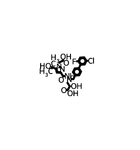 CC(C)(O)c1cc(C(=O)NN(Cc2ccc(-c3cc(Cl)ccc3F)cc2)C[C@@H](O)C(=O)O)nn1CC(=O)O